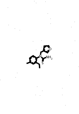 CCc1cc(C)ccc1N(Cc1ccoc1)C(N)=S